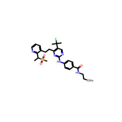 COCCNC(=O)c1ccc(Nc2ncc(C(C)(C)F)c(CCc3cccnc3C(C)S(C)(=O)=O)n2)cc1